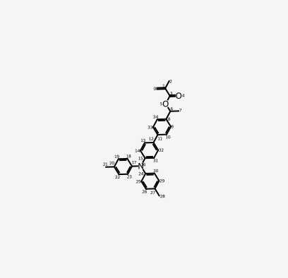 C=C(C)C(=O)OC(C)c1ccc(-c2ccc(N(c3ccc(C)cc3)c3ccc(C)cc3)cc2)cc1